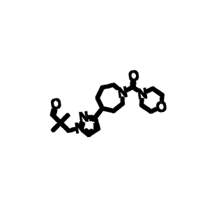 CC(C)(C=O)Cn1ccc(C2CCCN(C(=O)N3CCOCC3)CC2)n1